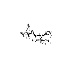 CN(CCOC(C)(C)C)C(C)(C)C